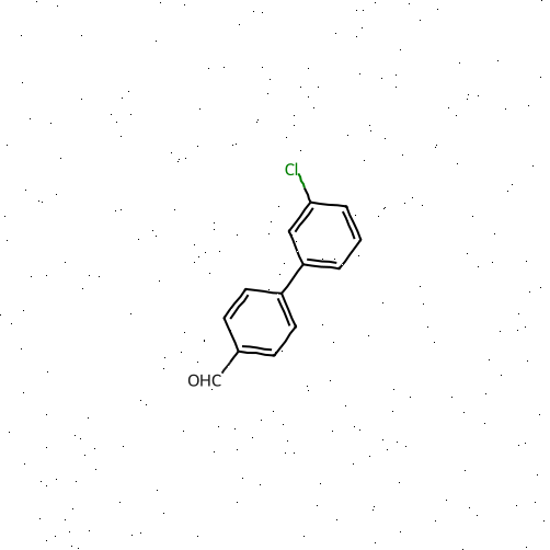 O=Cc1ccc(-c2cccc(Cl)c2)cc1